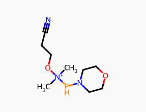 C[N+](C)(OCCC#N)PN1CCOCC1